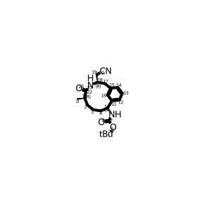 C[C@@H]1CCC[C@H](NC(=O)OC(C)(C)C)c2cccc(c2)C[C@H](CC#N)NC1=O